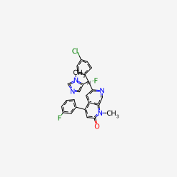 Cn1cncc1[C@@](F)(c1ccc(Cl)cc1)c1cc2c(-c3cccc(F)c3)cc(=O)n(C)c2cn1